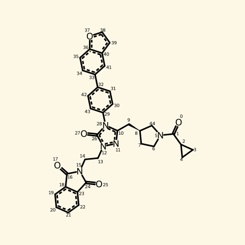 O=C(C1CC1)N1CC[C@@H](Cc2nn(CCN3C(=O)c4ccccc4C3=O)c(=O)n2-c2ccc(-c3ccc4occc4c3)cc2)C1